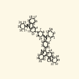 c1ccc(N(c2ccc(-c3ccc4c(c3)c3ccccc3n4-c3ccccc3)cc2)c2ccc(-c3nc4ccccc4c4c3ccc3c5ccccc5oc34)cc2)cc1